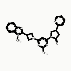 Cc1nc(N2CC(c3nc4ccccc4n3C)C2)cc(N2CC(c3ccccn3)CC2=O)n1